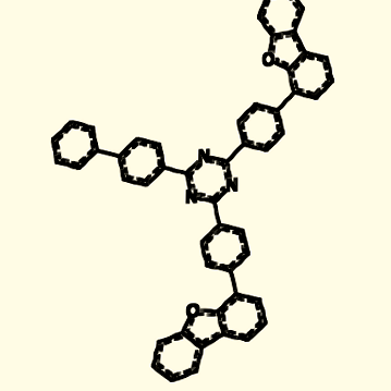 c1ccc(-c2ccc(-c3nc(-c4ccc(-c5cccc6c5oc5ccccc56)cc4)nc(-c4ccc(-c5cccc6c5oc5ccccc56)cc4)n3)cc2)cc1